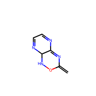 C=C1N=C2N=CC=NC2NO1